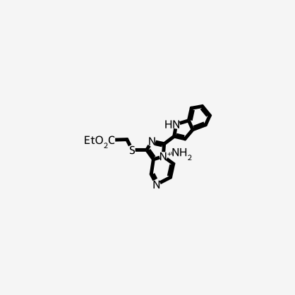 CCOC(=O)CSC1=C2C=NC=C[N+]2(N)C(c2cc3ccccc3[nH]2)=N1